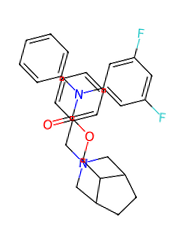 O=C(OCC1C2CCC1CN(Cc1ccccc1)C2)N(c1ccccc1)c1cc(F)cc(F)c1